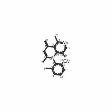 C=C1C=C(C)N(c2c(C)cccc2C#N)c2c(C)cnc(C)c21